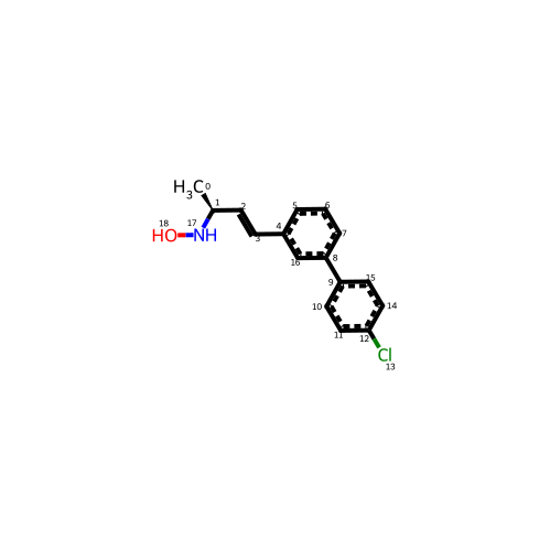 C[C@@H](/C=C/c1cccc(-c2ccc(Cl)cc2)c1)NO